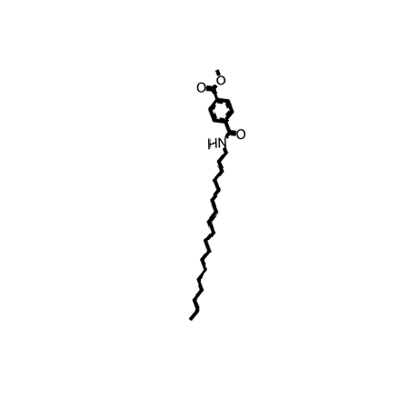 CCCCCCCCCCCCCCCCCCNC(=O)c1ccc(C(=O)OC)cc1